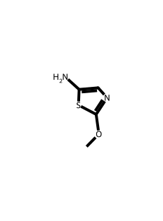 COc1ncc(N)s1